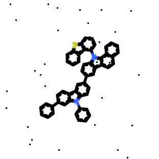 c1ccc(-c2ccc3c4cc(-c5ccc6c(c5)c5ccc7ccccc7c5n6-c5cccc6sc7ccccc7c56)ccc4n(-c4ccccc4)c3c2)cc1